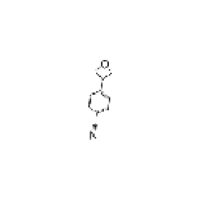 N#Cc1ccc(C2COC2)cc1